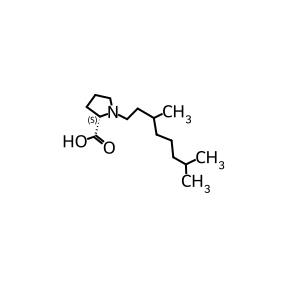 CC(C)CCCC(C)CCN1CCC[C@H]1C(=O)O